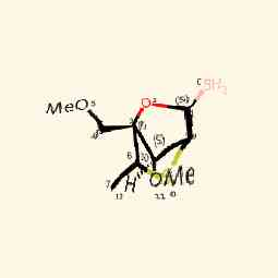 B[C@@H]1O[C@@]2(COC)C(C)SC1[C@H]2OC